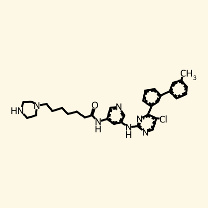 Cc1cccc(-c2cccc(-c3nc(Nc4cncc(NC(=O)CCCCCCN5CCNCC5)c4)ncc3Cl)c2)c1